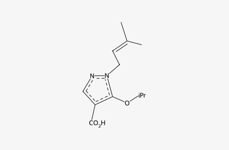 CC(C)=CCn1ncc(C(=O)O)c1OC(C)C